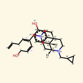 C=CC/C=C(\C=C/CO)CN1CC[C@]23CCN(CC4CC4)[C@H](Cc4ccc(O)cc42)[C@@H]3C1